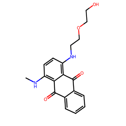 CNc1ccc(NCCOCCO)c2c1C(=O)c1ccccc1C2=O